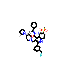 C[C@@H]1CCCN1C1CCN(Cc2c(-c3cccc(CF)c3)nc3ccc(S(C)(=O)=O)cc3c2C(=O)N[C@H](c2ccccc2)C(F)(F)F)CC1